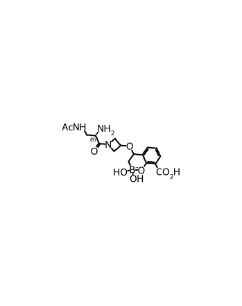 CC(=O)NC[C@@H](N)C(=O)N1CC(OC2C[B-](O)(O)Oc3c(C(=O)O)cccc32)C1